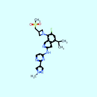 CC(C)c1cc(F)c(N2CC(CS(C)(=O)=O)C2)c2cnc(Nc3ccnc(-c4cnn(C)c4)n3)cc12